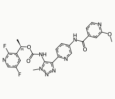 COc1cc(C(=O)Nc2ccc(-c3nnn(C)c3NC(=O)O[C@H](C)c3cc(F)cnc3F)nc2)ccn1